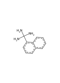 NC(N)(N)c1cccc2ccccc12